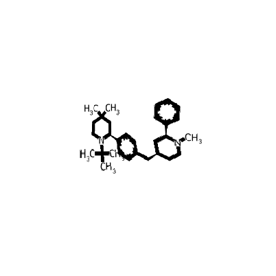 CN1CC[C@@H](Cc2ccc([C@@H]3CC(C)(C)CCN3C(C)(C)C)cc2)C[C@H]1c1ccccc1